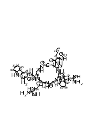 CCCC[C@H](NC(C)=O)C(=O)N[C@H]1CCC(=O)NCC[C@@H](C(=O)N[C@@H](Cc2c[nH]c3ccccc23)C(N)=O)NC(=O)[C@H](CCCNC(=N)N)NC(=O)[C@@H](Cc2ccccc2)NC(=O)[C@H](CCCNC(=N)N)NC1=O